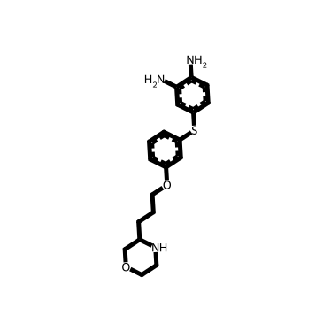 Nc1ccc(Sc2cccc(OCCCC3COCCN3)c2)cc1N